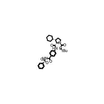 CC(C)(C)OC(=O)N1CC[C@@H](C2CCCCC2)[C@H]1C(=O)Nc1ccc(C(=O)NS(=O)(=O)c2ccccc2)cc1